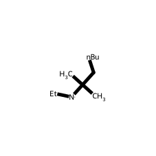 CCCCCC(C)(C)[N]CC